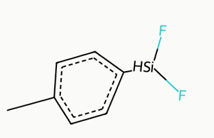 Cc1ccc([SiH](F)F)cc1